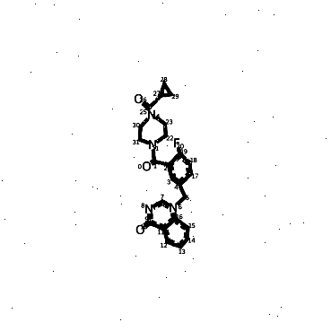 O=C(c1cc(Cn2cnc(=O)c3ccccc32)ccc1F)N1CCN(C(=O)C2CC2)CC1